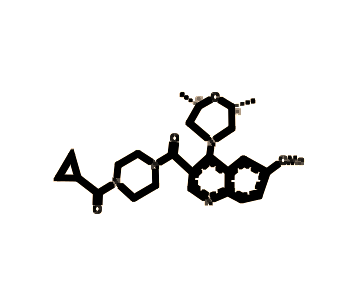 COc1ccc2ncc(C(=O)N3CCN(C(=O)C4CC4)CC3)c(N3C[C@@H](C)O[C@@H](C)C3)c2c1